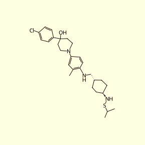 Cc1cc(N2CCC(O)(c3ccc(Cl)cc3)CC2)ccc1NC[C@H]1CC[C@H](NSC(C)C)CC1